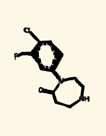 O=C1CCNCCN1c1ccc(Cl)c(F)c1